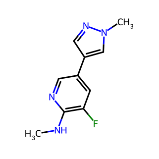 CNc1ncc(-c2cnn(C)c2)cc1F